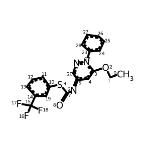 CCOc1cc(=NC(=O)Sc2cccc(C(F)(F)F)c2)cnn1-c1ccccc1